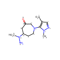 Cn1ncc([N+](=O)[O-])c1N1CCC(N(N)C(=O)O)CC(=O)C1